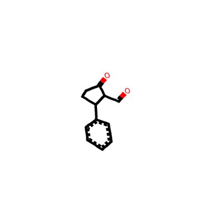 O=CC1C(=O)CCC1c1ccccc1